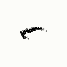 CCC/C=C(/F)c1ccc(C(=O)Oc2ccc(C3CCC(CCCCCC)CC3)cc2)cc1